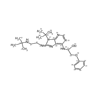 CC(C)(C)NCCNc1nc2c(NC(O)COc3ccccc3)ncnc2n1C(C)(C)C